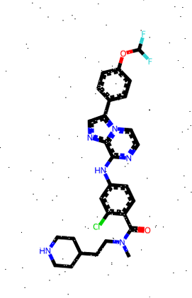 CN(CCC1CCNCC1)C(=O)c1ccc(Nc2nccn3c(-c4ccc(OC(F)F)cc4)cnc23)cc1Cl